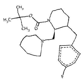 CC(C)(C)OC(=O)N1CCCC(Cc2ccc(F)cc2)[C@H]1CN1CCCCC1